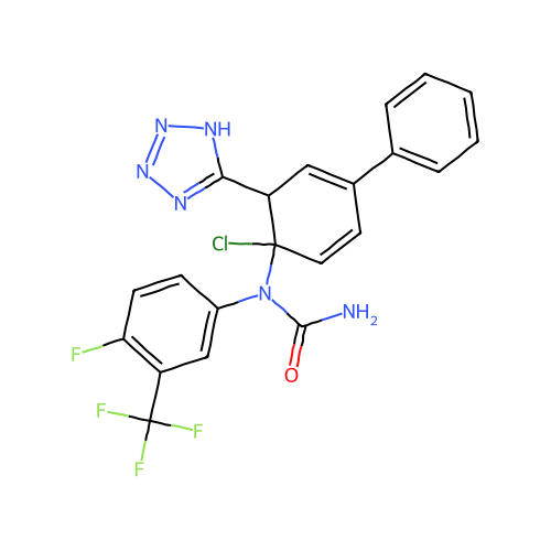 NC(=O)N(c1ccc(F)c(C(F)(F)F)c1)C1(Cl)C=CC(c2ccccc2)=CC1c1nnn[nH]1